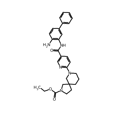 CCOC(=O)N1CCC2(CCCN(c3ccc(C(=O)Nc4cc(-c5ccccc5)ccc4N)cn3)C2)C1